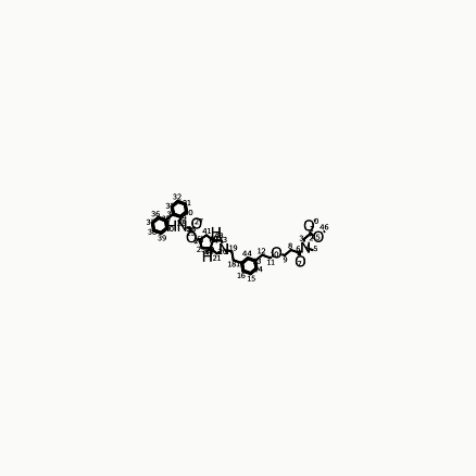 COC(CN(C)C(=O)CCOCCc1cccc(CCN2C[C@H]3C[C@H](OC(=O)Nc4ccccc4-c4ccccc4)C[C@H]3C2)c1)OC